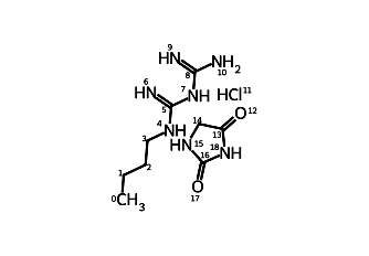 CCCCNC(=N)NC(=N)N.Cl.O=C1CNC(=O)N1